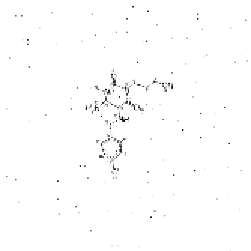 CN1C(=O)N(CCCO)C(=O)C(NCc2ccc(Cl)cc2)C1N